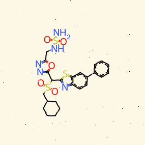 NS(=O)(=O)NCc1nnc(C(c2nc3ccc(-c4ccccc4)cc3s2)S(=O)(=O)CC2CCCCC2)o1